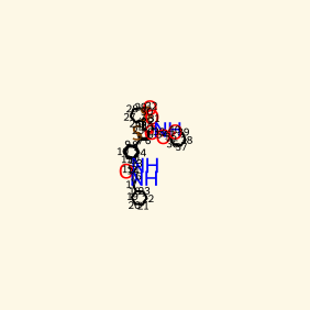 O=C(C[C@]1(c2ccc(-c3cccc(NC(=O)NCC4CCCCC4)c3)s2)CCCCS1(=O)=O)NOC1CCCCO1